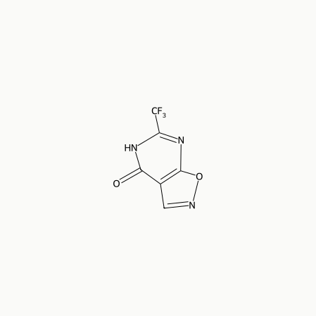 O=c1[nH]c(C(F)(F)F)nc2oncc12